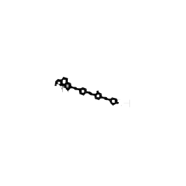 Cc1cc(C#Cc2ccc(S)cc2)ccc1C#Cc1ccc(C#Cc2cnc3c(ccc4cccnc43)c2)cc1